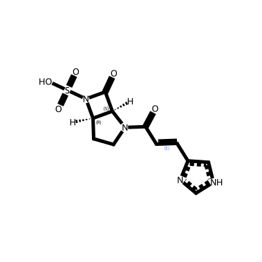 O=C(/C=C/c1c[nH]cn1)N1CC[C@@H]2[C@H]1C(=O)N2S(=O)(=O)O